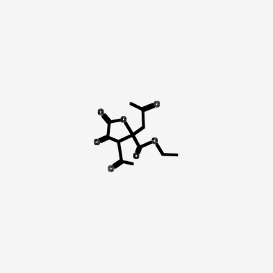 CCOC(=O)C1(CC(C)=O)OC(=O)C(=O)C1C(C)=O